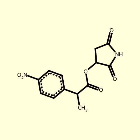 CC(C(=O)OC1CC(=O)NC1=O)c1ccc([N+](=O)[O-])cc1